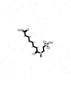 CN(CCS(=O)(=O)O)C(=O)CCCCCCC(=O)O